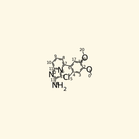 COc1cc(Cl)c(-c2cccc3nc(N)cn23)cc1OC